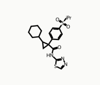 CC(C)S(=O)(=O)c1ccc(C2(C(=O)Nc3nncs3)CC2C2CCCCC2)cc1